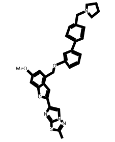 COc1cc(COc2cccc(-c3ccc(CN4CCCC4)cc3)c2)c2cc(-c3cn4nc(C)sc4n3)oc2c1